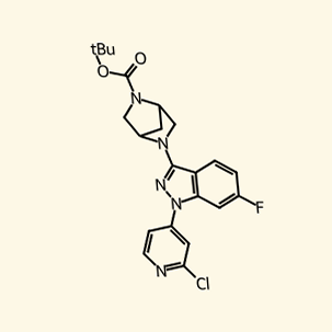 CC(C)(C)OC(=O)N1CC2CC1CN2c1nn(-c2ccnc(Cl)c2)c2cc(F)ccc12